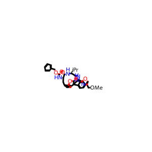 COCc1coc(-c2nc3oc2C24c5ccccc5NC2Oc2ccc(cc24)C[C@H](NC(=O)OCc2ccccc2)C(=O)N[C@H]3C(C)C)n1